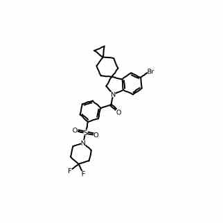 O=C(c1cccc(S(=O)(=O)N2CCC(F)(F)CC2)c1)N1CC2(CCC3(CC3)CC2)c2cc(Br)ccc21